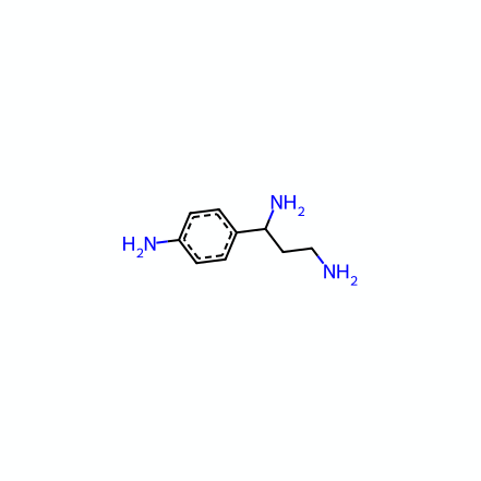 NCCC(N)c1ccc(N)cc1